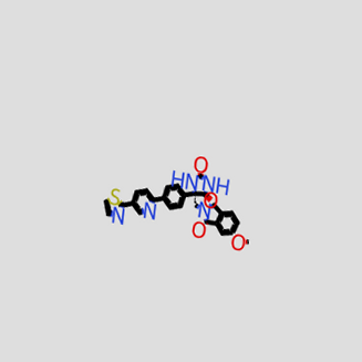 COc1ccc2c(c1)C(=O)N(C[C@]1(c3ccc(-c4ccc(-c5nccs5)cn4)cc3)NC(=O)NC1=O)C2